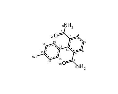 NC(=O)c1cccc(C(N)=O)c1-c1ccc(I)cc1